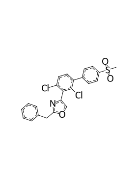 CS(=O)(=O)c1ccc(-c2ccc(Cl)c(-c3coc(Cc4ccccc4)n3)c2Cl)cc1